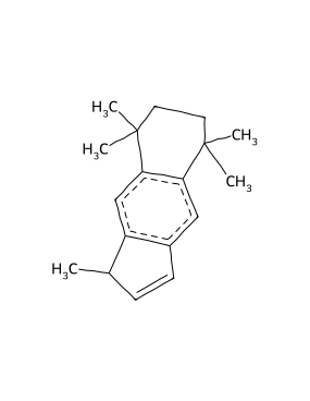 CC1C=Cc2cc3c(cc21)C(C)(C)CCC3(C)C